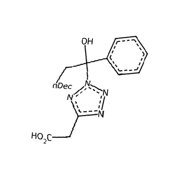 CCCCCCCCCCCC(O)(c1ccccc1)n1nnc(CC(=O)O)n1